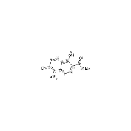 COC(=O)c1ncc2c(C(F)(F)F)c(Cl)ccc2c1O